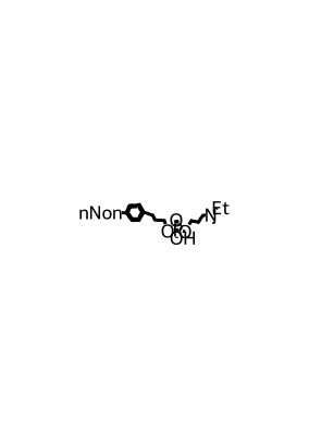 CCCCCCCCCc1ccc(CCCOP(=O)(O)OCCCN(C)CC)cc1